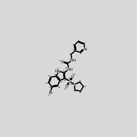 O=C(NCc1cccnc1)Nc1[nH]c2ccc(Br)cc2c1S(=O)(=O)N1CCCC1